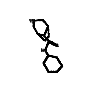 O=C(NC1CCCCC1)N1C2CCC1CNC2